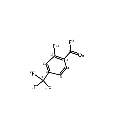 O=C(F)c1ccc(C(F)(F)F)cc1F